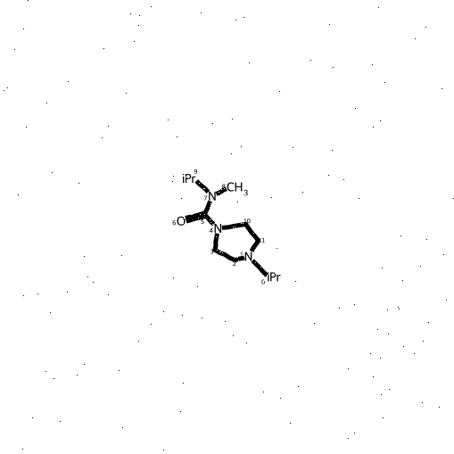 CC(C)N1CCN(C(=O)N(C)C(C)C)CC1